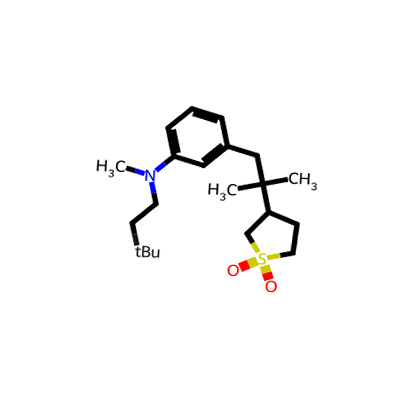 CN(CCC(C)(C)C)c1cccc(CC(C)(C)C2CCS(=O)(=O)C2)c1